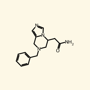 NC(=O)CC1CN(Cc2ccccc2)Cc2cncn21